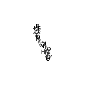 O=C(CCc1ncc(CC=NOCc2ccc(C(F)(F)F)cc2)cn1)NCC1CCOCC1